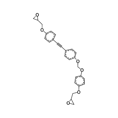 C(#Cc1ccc(OCC2CO2)cc1)c1ccc(OCOc2ccc(OCC3CO3)cc2)cc1